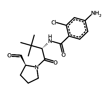 CC(C)(C)[C@H](NC(=O)c1ccc(N)cc1Cl)C(=O)N1CCC[C@H]1C=O